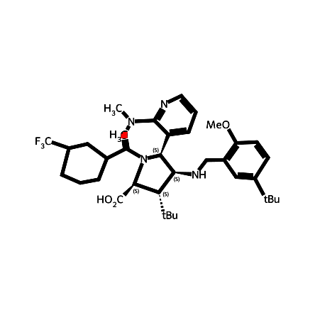 COc1ccc(C(C)(C)C)cc1CN[C@H]1[C@H](C(C)(C)C)[C@@H](C(=O)O)N(C(=O)C2CCCC(C(F)(F)F)C2)[C@H]1c1cccnc1N(C)C